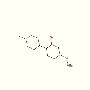 CCCCOC1CCC(C2CCC(C)CC2)C(S)C1